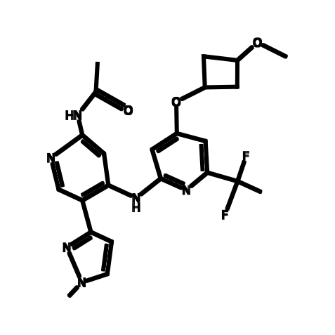 COC1CC(Oc2cc(Nc3cc(NC(C)=O)ncc3-c3ccn(C)n3)nc(C(C)(F)F)c2)C1